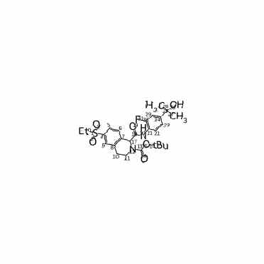 CCS(=O)(=O)c1ccc2c(c1)CCN(C(=O)OC(C)(C)C)C2C(=O)Nc1ccc(C(C)(C)O)cc1F